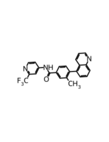 Cc1cc(C(=O)Nc2ccnc(C(F)(F)F)c2)ccc1-c1cccc2ncccc12